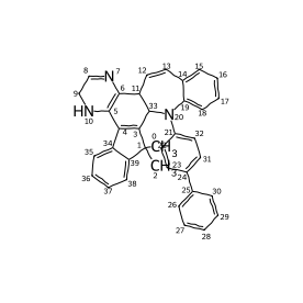 CC1(C)C2=C(C3=C(N=CCN3)C3C=Cc4ccccc4N(c4ccc(-c5ccccc5)cc4)C23)c2ccccc21